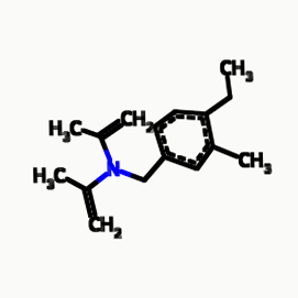 C=C(C)N(Cc1ccc(CC)c(C)c1)C(=C)C